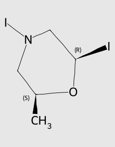 C[C@H]1CN(I)C[C@@H](I)O1